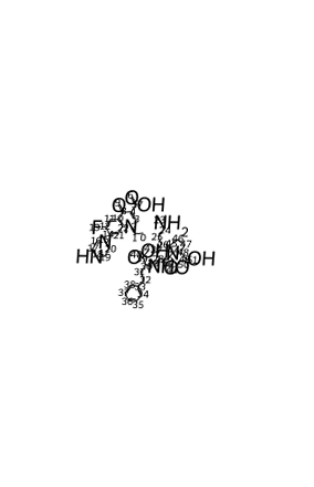 CCn1cc(C(=O)O)c(=O)c2cc(F)c(N3CCNCC3)cc21.NCCCC[C@H](N[C@@H](CCc1ccccc1)C(=O)O)C(=O)N1CCC[C@H]1C(=O)O